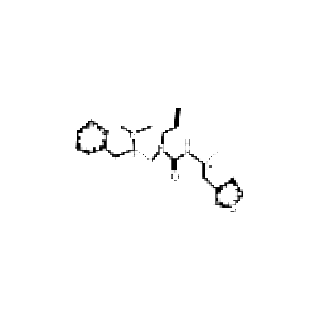 C=CCN(C[C@H](Cc1ccccc1)N(C)C)C(=O)N[C@H](C)Cc1ccsc1